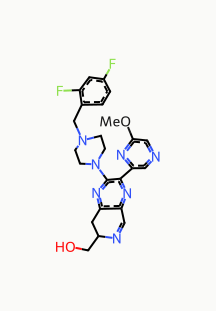 COc1cncc(-c2nc3c(nc2N2CCN(Cc4ccc(F)cc4F)CC2)CC(CO)N=C3)n1